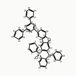 O=P1(c2ccccc2)c2ccccc2N(c2ccccc2)c2cc3oc4ccc(-c5nc(-c6ccccc6)nc(-c6ccccc6)n5)cc4c3cc21